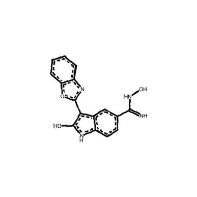 N=C(NO)c1ccc2[nH]c(O)c(-c3nc4ccccc4o3)c2c1